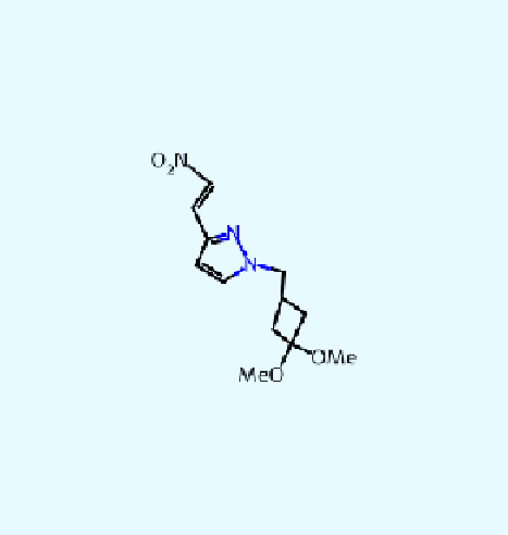 COC1(OC)CC(Cn2ccc(/C=C/[N+](=O)[O-])n2)C1